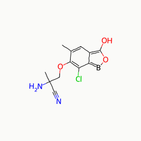 Cc1cc2c(O)obc2c(Cl)c1OCC(C)(N)C#N